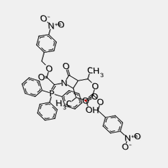 CC(OC(=O)OCc1ccc([N+](=O)[O-])cc1)C1C(=O)N(C(C(=O)OCc2ccc([N+](=O)[O-])cc2)=P(c2ccccc2)(c2ccccc2)c2ccccc2)C1C(C)C(=O)O